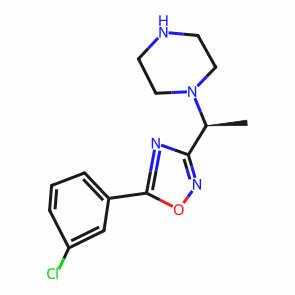 C[C@@H](c1noc(-c2cccc(Cl)c2)n1)N1CCNCC1